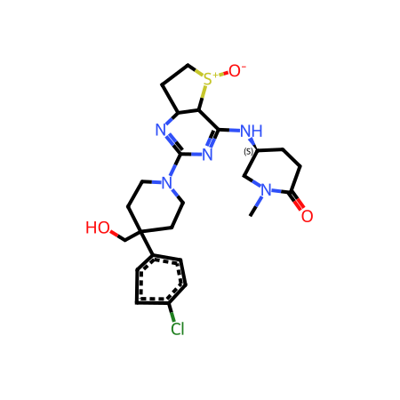 CN1C[C@@H](NC2=NC(N3CCC(CO)(c4ccc(Cl)cc4)CC3)=NC3CC[S+]([O-])C23)CCC1=O